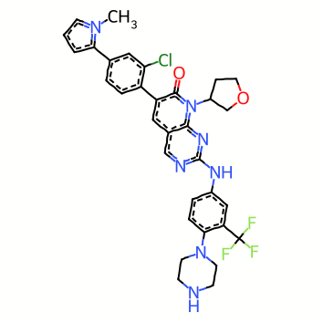 Cn1cccc1-c1ccc(-c2cc3cnc(Nc4ccc(N5CCNCC5)c(C(F)(F)F)c4)nc3n(C3CCOC3)c2=O)c(Cl)c1